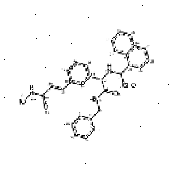 O=CC(NC(C(=O)NCc1ccccc1)c1cccc(/C=C/C(=O)NO)c1)c1cccc2ccccc12